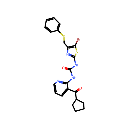 O=C(Nc1nc(CSc2ccccc2)c(Br)s1)Nc1ncccc1C(=O)C1CCCC1